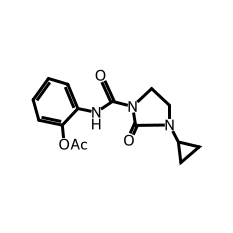 CC(=O)Oc1ccccc1NC(=O)N1CCN(C2CC2)C1=O